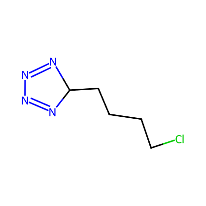 ClCCCCC1N=NN=N1